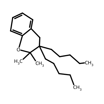 CCCCCC1(CCCCC)Cc2ccccc2OC1(C)C